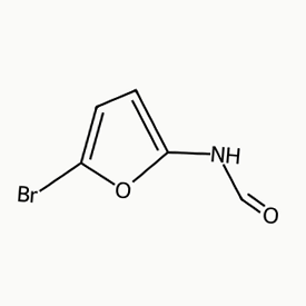 O=CNc1ccc(Br)o1